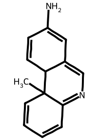 CC12C=CC=CC1=NC=C1C=C(N)C=CC12